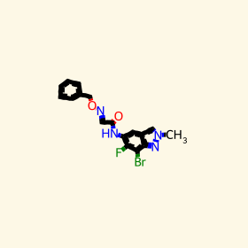 Cn1cc2cc(NC(=O)C=NOCc3ccccc3)c(F)c(Br)c2n1